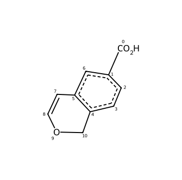 O=C(O)c1ccc2c(c1)C=COC2